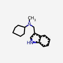 CN(Cc1c[nH]c2ccccc12)C1CCCCC1